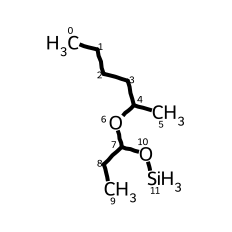 CCCCC(C)OC(CC)O[SiH3]